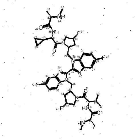 CN[C@H](C)C(=O)N[C@@H](C(=O)N1CC(F)C[C@H]1Cn1c(-c2nc3cc(F)ccc3n2C[C@@H]2CC(F)CN2C(=O)[C@H](NC(=O)[C@@H](C)NC)C2CC2)nc2cc(F)ccc21)C(C)C